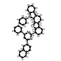 c1ccc(-c2cc(-c3ccc4ccccc4c3)nc(-c3cccc4c3oc3c4ccc4c5ccccc5n(-c5ccccc5)c43)n2)cc1